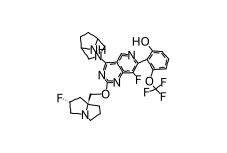 Oc1cccc(OC(F)(F)F)c1-c1ncc2c(N3CC4CCC(C3)N4)nc(OC[C@@]34CCCN3C[C@H](F)C4)nc2c1F